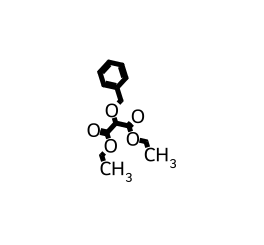 CCOC(=O)C(OCc1ccccc1)C(=O)OCC